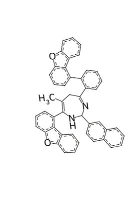 CC1=C(c2cccc3oc4ccccc4c23)NC(c2ccc3ccccc3c2)N=C(c2ccccc2-c2cccc3oc4ccccc4c23)C1